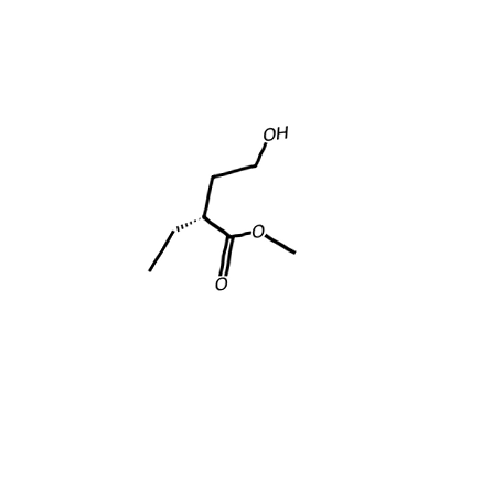 CC[C@H](CCO)C(=O)OC